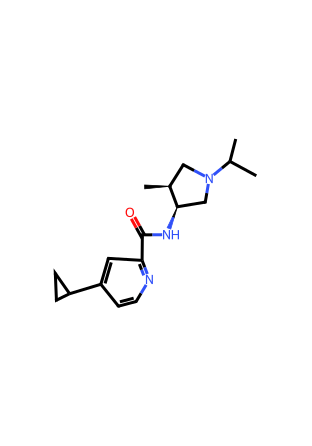 CC(C)N1C[C@H](C)[C@H](NC(=O)c2cc(C3CC3)ccn2)C1